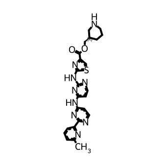 Cc1cccc(-c2nccc(Nc3ccnc(Nc4nc(C(=O)OC[C@@H]5CCCNC5)cs4)n3)n2)n1